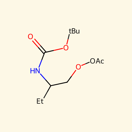 CCC(COOC(C)=O)NC(=O)OC(C)(C)C